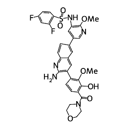 COc1ncc(-c2ccc3nc(N)c(-c4ccc(C(=O)N5CCOCC5)c(O)c4OC)cc3c2)cc1NS(=O)(=O)c1ccc(F)cc1F